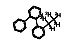 [2H]C([2H])([2H])C([2H])([2H])c1ccccc1-c1ncccc1-c1ccccc1